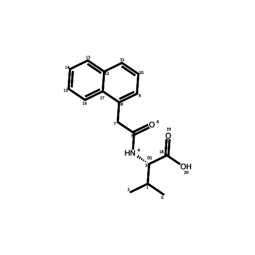 CC(C)[C@H](NC(=O)Cc1cccc2ccccc12)C(=O)O